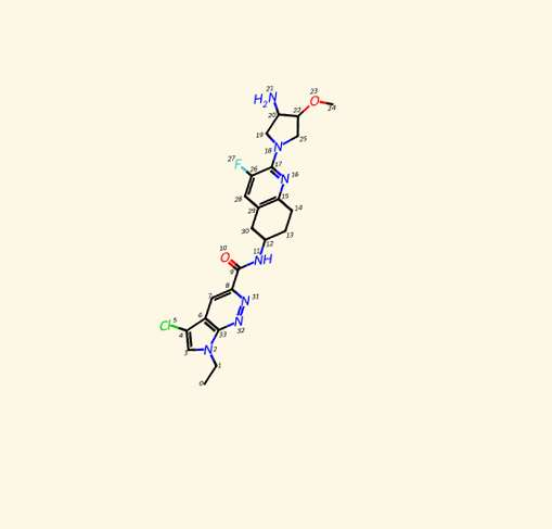 CCn1cc(Cl)c2cc(C(=O)NC3CCc4nc(N5CC(N)C(OC)C5)c(F)cc4C3)nnc21